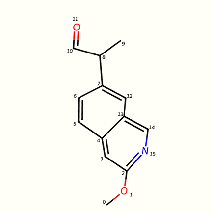 COc1cc2ccc(C(C)C=O)cc2cn1